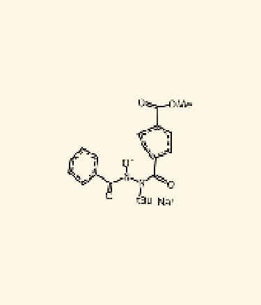 COC(=O)c1ccc(C(=O)N(N([O-])C(=O)c2ccccc2)C(C)(C)C)cc1.[Na+]